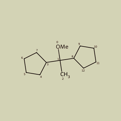 COC(C)(C1CCCC1)C1CCCC1